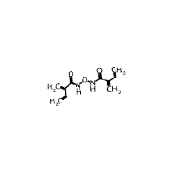 C=CC(=C)C(=O)NONC(=O)C(=C)C=C